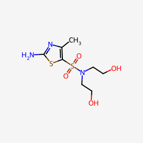 Cc1nc(N)sc1S(=O)(=O)N(CCO)CCO